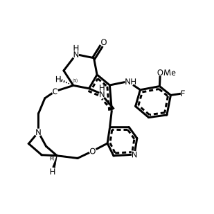 COc1c(F)cccc1Nc1c2[nH]c3c1C(=O)NC[C@@H]3CCCN1CC[C@@H](COc3cnccc3-2)C1